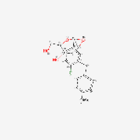 COc1ccc(Cc2cc(C34OC(CO)C(O)CC3O4)ccc2Cl)cc1